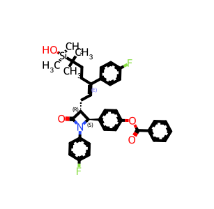 CC(C)(CC/C(=C\C[C@H]1C(=O)N(c2ccc(F)cc2)[C@@H]1c1ccc(OC(=O)c2ccccc2)cc1)c1ccc(F)cc1)[Si](C)(C)O